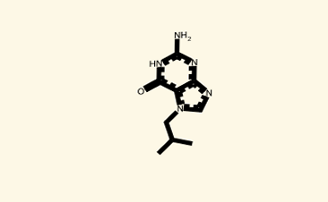 CC(C)Cn1cnc2nc(N)[nH]c(=O)c21